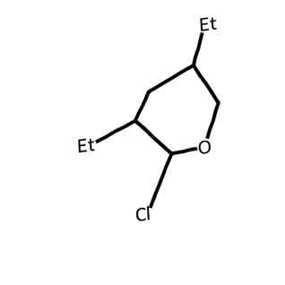 CCC1COC(Cl)C(CC)C1